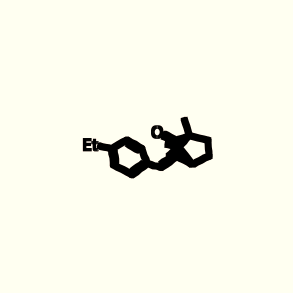 CCc1ccc(C=C2C(=O)C3(C)CCC2C3(C)C)cc1